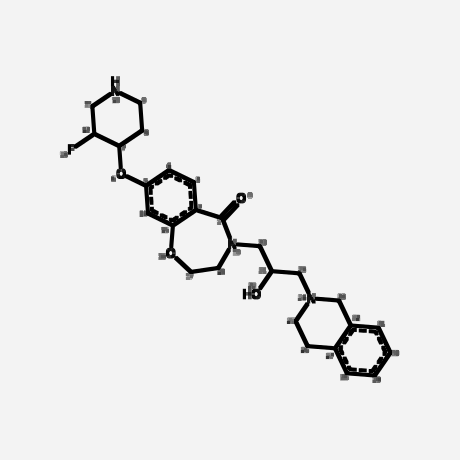 O=C1c2ccc(OC3CCNCC3F)cc2OCCN1CC(O)CN1CCc2ccccc2C1